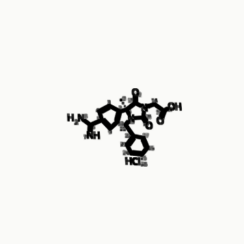 C[C@]1(c2ccc(C(=N)N)cc2)C(=O)N(CC(=O)O)C(=O)N1Cc1ccccc1.Cl